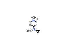 CN1CCC(N(C=O)C2CC2)CC1